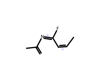 C=C(C)/N=C(F)\C=C/C